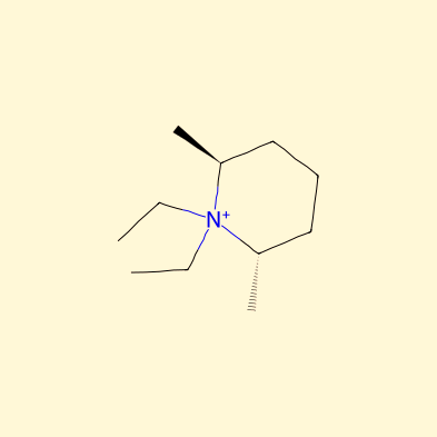 CC[N+]1(CC)[C@@H](C)CCC[C@@H]1C